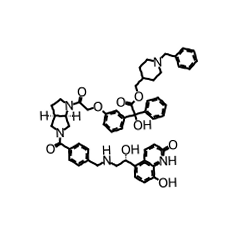 O=C(c1ccc(CNC[C@H](O)c2ccc(O)c3[nH]c(=O)ccc23)cc1)N1C[C@H]2CCN(C(=O)COc3cccc(C(O)(C(=O)OCC4CCN(Cc5ccccc5)CC4)c4ccccc4)c3)[C@H]2C1